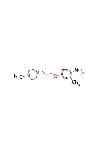 Cc1cc(OCCCN2CCN(C)CC2)ccc1[N+](=O)[O-]